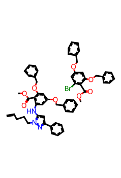 C=CCCCn1nc(-c2ccccc2)cc1Nc1cc(OCc2ccccc2)cc(OCc2ccccc2)c1C(=O)OC.COC(=O)c1c(Br)cc(OCc2ccccc2)cc1OCc1ccccc1